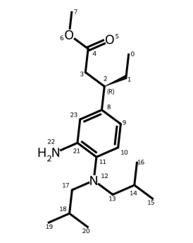 CC[C@H](CC(=O)OC)c1ccc(N(CC(C)C)CC(C)C)c(N)c1